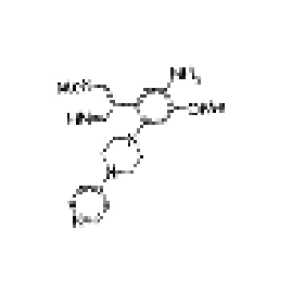 CN/C=C(\C=N)c1cc(N)c(OC)cc1N1CCN(c2ccncc2)CC1